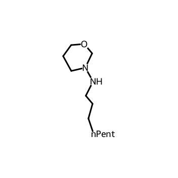 CCCCCCCCNN1CCCOC1